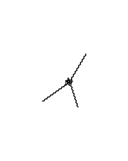 CCCCCCCCCCCCCCCCCCn1cc[n+](CCCCCCCCCCCCCCCCCC)c1CCCCCCCCCCCCCCC